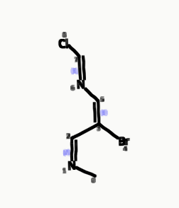 C\N=C/C(Br)=C\N=C\Cl